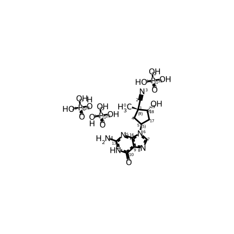 C[C@]1(C#N)C[C@H](n2cnc3c(=O)[nH]c(N)nc32)C[C@H]1O.O=P(O)(O)O.O=P(O)(O)O.O=P(O)(O)O